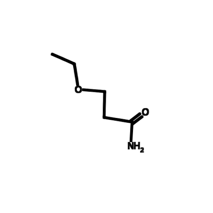 CCOCCC(N)=O